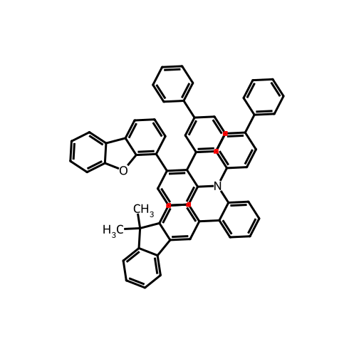 CC1(C)c2ccccc2-c2cc(-c3ccccc3N(c3ccc(-c4ccccc4)cc3)c3cccc(-c4cccc5c4oc4ccccc45)c3-c3cccc(-c4ccccc4)c3)ccc21